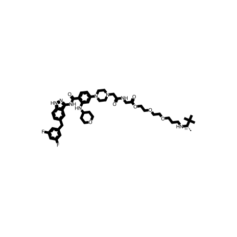 C[C@H](NCCCOCCOCCOC(=O)CNC(=O)CN1CCN(c2ccc(C(=O)Nc3n[nH]c4ccc(Cc5cc(F)cc(F)c5)cc34)c(NC3CCOCC3)c2)CC1)C(C)(C)C